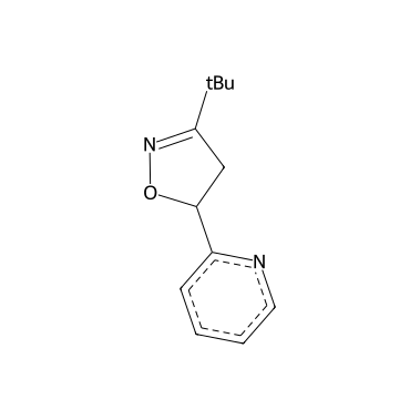 CC(C)(C)C1=NOC(c2ccccn2)C1